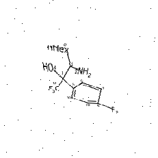 CCCCCCC(N)C(O)(c1ccc(F)cc1)C(F)(F)F